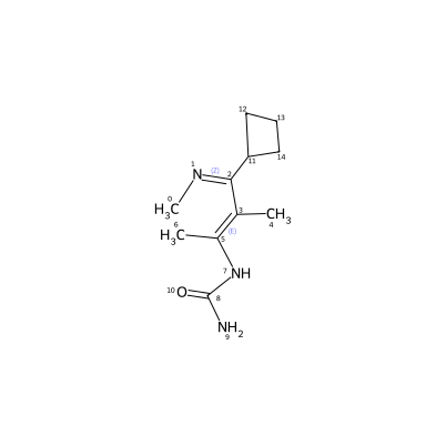 C/N=C(\C(C)=C(/C)NC(N)=O)C1CCC1